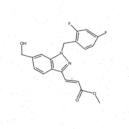 COC(=O)/C=C/c1nn(Cc2ccc(F)cc2F)c2cc(CO)ccc12